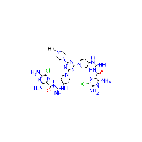 CN1CCN(c2nc(N3CCC(NC(=N)NC(=O)c4nc(Cl)c(N)nc4N)CC3)nc(N3CCC(NC(=N)NC(=O)c4nc(Cl)c(N)nc4N)CC3)n2)CC1